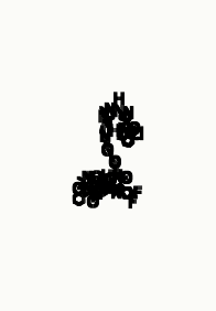 Cc1nc(Nc2ncc(C(=O)Nc3c(C)cccc3Cl)s2)cc(N2CCN(CCOCCOCCNC(=O)c3c(C(=O)N4CCN(C(=O)C(NC(=O)C(C)N(C)C(=O)OC(C)(C)C)C5CCCCC5)CC4)n(C)c4cc(F)c(F)cc34)CC2)n1